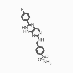 NS(=O)(=O)c1ccc(CNc2ncc3c(n2)NNC(c2ccc(F)cc2)=N3)cc1